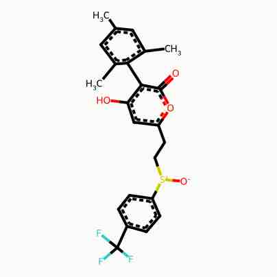 Cc1cc(C)c(-c2c(O)cc(CC[S+]([O-])c3ccc(C(F)(F)F)cc3)oc2=O)c(C)c1